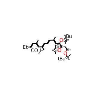 CCC(=CC(C)=CC(C)=CC=CC(C)=C[C@H](O[Si](C)(C)C(C)(C)C)[C@H](C[C@@H](C)O[Si](C)(C)C(C)(C)C)O[Si](C)(C)C(C)(C)C)C(=O)O